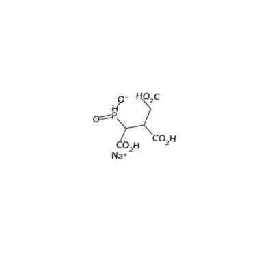 O=C(O)CC(C(=O)O)C(C(=O)O)[PH](=O)[O-].[Na+]